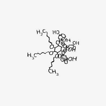 CCCCCCOC1C(OCCCCCC)C(OP(=O)(O)CC(=O)O)C(OP(=O)(O)CC(=O)O)C(OP(=O)(O)CC(=O)O)C1OCCCCCC